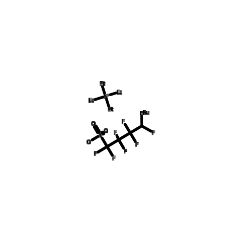 CCCCC(F)C(F)(F)C(F)(F)C(F)(F)S(=O)(=O)[O-].CC[N+](CC)(CC)CC